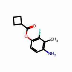 Cc1c(N)ccc(OC(=O)C2CCC2)c1F